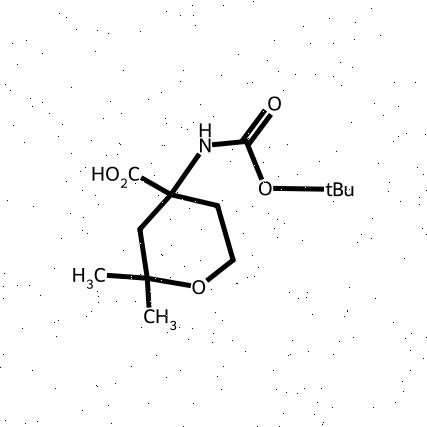 CC(C)(C)OC(=O)NC1(C(=O)O)CCOC(C)(C)C1